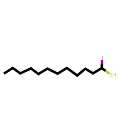 CCCCCCCCCCCC(S)I